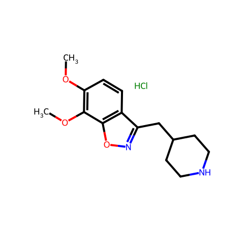 COc1ccc2c(CC3CCNCC3)noc2c1OC.Cl